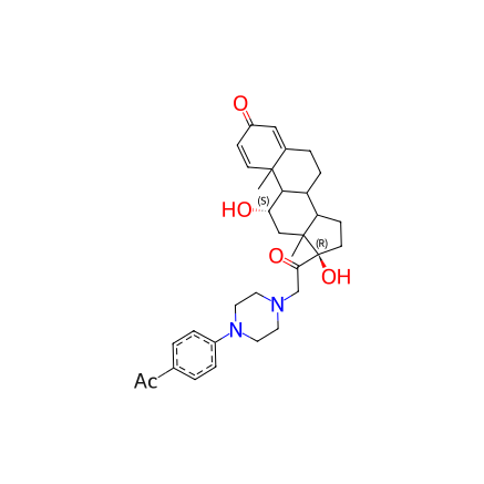 CC(=O)c1ccc(N2CCN(CC(=O)[C@@]3(O)CCC4C5CCC6=CC(=O)C=CC6(C)C5[C@@H](O)CC43C)CC2)cc1